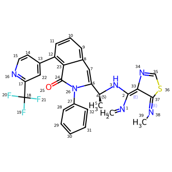 C=N/C(N[C@@H](C)c1cc2cccc(-c3ccnc(C(F)(F)F)c3)c2c(=O)n1-c1ccccc1)=C1/N=CS/C1=N/C